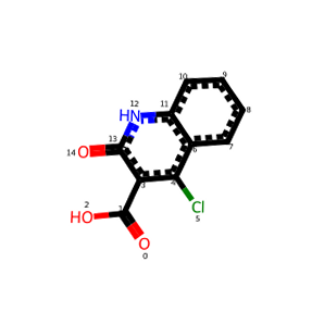 O=C(O)c1c(Cl)c2ccccc2[nH]c1=O